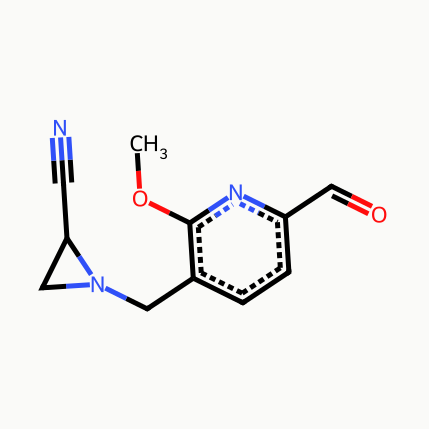 COc1nc(C=O)ccc1CN1CC1C#N